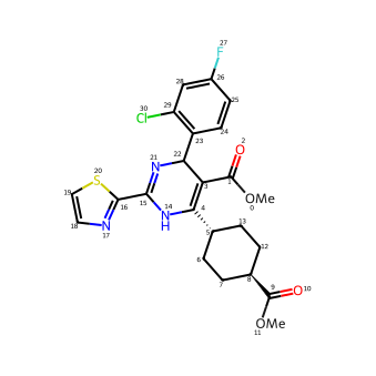 COC(=O)C1=C([C@H]2CC[C@H](C(=O)OC)CC2)NC(c2nccs2)=NC1c1ccc(F)cc1Cl